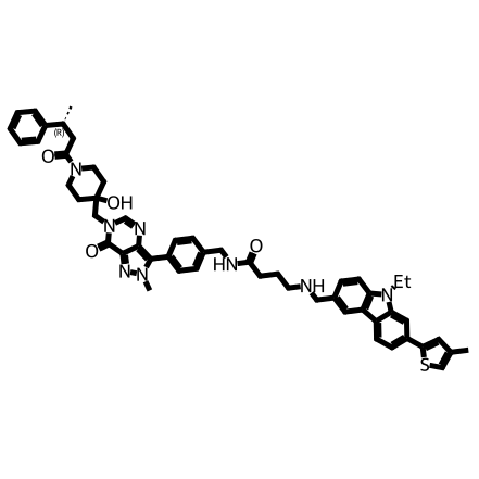 CCn1c2ccc(CNCCCC(=O)NCc3ccc(-c4c5ncn(CC6(O)CCN(C(=O)C[C@@H](C)c7ccccc7)CC6)c(=O)c5nn4C)cc3)cc2c2ccc(-c3cc(C)cs3)cc21